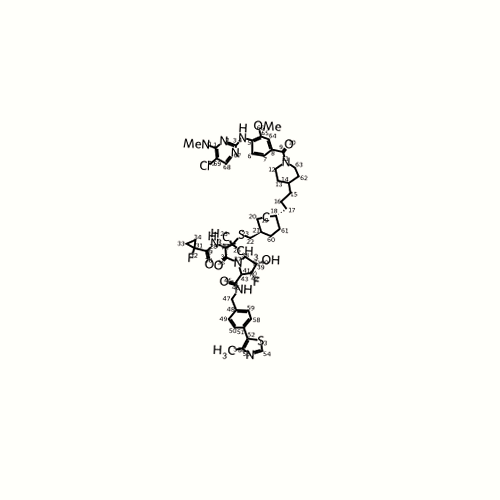 CNc1nc(Nc2ccc(C(=O)N3CCC(CCC[C@H]4CC[C@H](CSC(C)(C)[C@H](NC(=O)C5(F)CC5)C(=O)N5C[C@H](O)[C@H](F)C5C(=O)NCc5ccc(-c6scnc6C)cc5)CC4)CC3)cc2OC)ncc1Cl